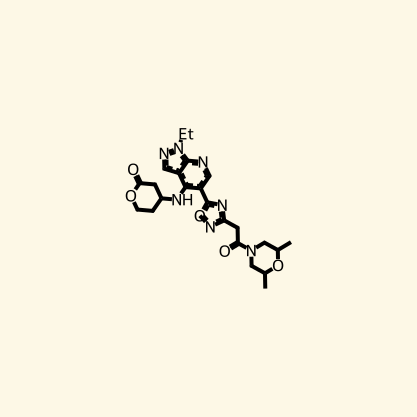 CCn1ncc2c(NC3CCOC(=O)C3)c(-c3nc(CC(=O)N4CC(C)OC(C)C4)no3)cnc21